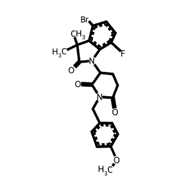 COc1ccc(CN2C(=O)CCC(N3C(=O)C(C)(C)c4c(Br)ccc(F)c43)C2=O)cc1